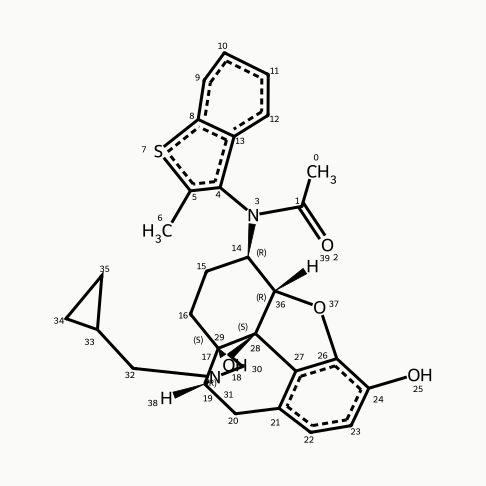 CC(=O)N(c1c(C)sc2ccccc12)[C@@H]1CC[C@@]2(O)[C@H]3Cc4ccc(O)c5c4[C@@]2(CCN3CC2CC2)[C@H]1O5